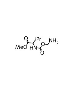 COC(=O)C(NC(=O)OCN)C(C)C